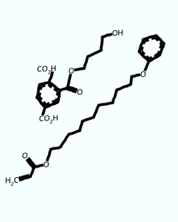 C=CC(=O)OCCCCCCCCCCCOc1ccccc1.O=C(O)c1ccc(C(=O)O)c(C(=O)OCCCCO)c1